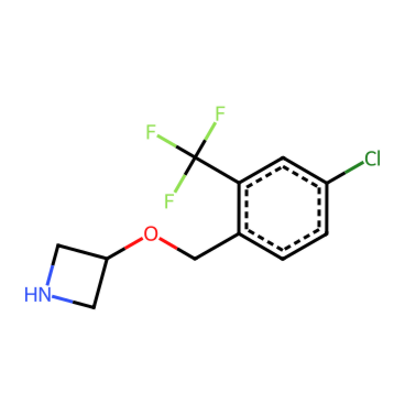 FC(F)(F)c1cc(Cl)ccc1COC1CNC1